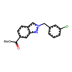 COC(=O)c1ccc2cn(Cc3cccc(Cl)c3)nc2c1